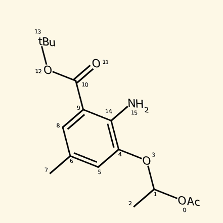 CC(=O)OC(C)Oc1cc(C)cc(C(=O)OC(C)(C)C)c1N